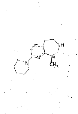 C[C@@H]1CNCCc2ccc(N3CCCCC3)nc21